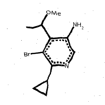 COC(C)c1c(N)cnc(C2CC2)c1Br